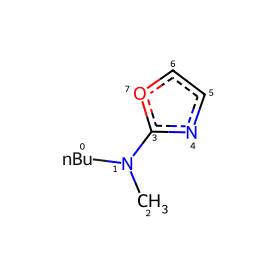 CCCCN(C)c1ncco1